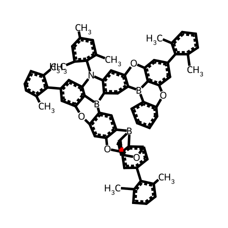 Cc1cc(C)c(N2c3cc4c(cc3B3c5cc6c(cc5Oc5cc(-c7c(C)cccc7C)cc2c53)Oc2cc(-c3c(C)cccc3C)cc3c2B6c2ccccc2O3)B2c3ccccc3Oc3cc(-c5c(C)cccc5C)cc(c32)O4)c(C)c1